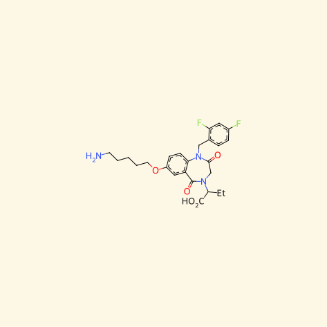 CCC(C(=O)O)N1CC(=O)N(Cc2ccc(F)cc2F)c2ccc(OCCCCCN)cc2C1=O